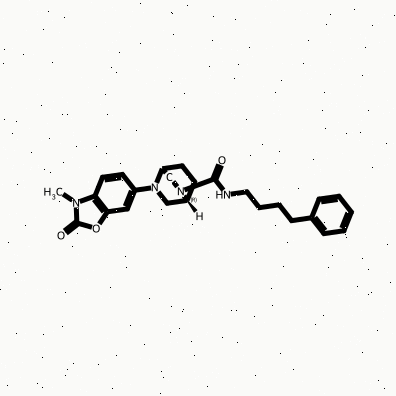 Cn1c(=O)oc2cc(N3C[C@H]4CCC3CN4C(=O)NCCCCc3ccccc3)ccc21